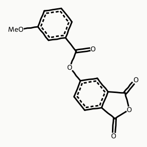 COc1cccc(C(=O)Oc2ccc3c(c2)C(=O)OC3=O)c1